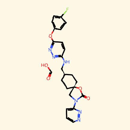 O=C1O[C@]2(CC[C@H](CNc3ccc(Oc4ccc(F)cc4)nn3)CC2)CN1c1cccnn1.O=CO